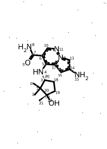 CC1(C)[C@H](Nc2c(C(N)=O)cnn3cc(N)cc23)CC[C@]1(C)O